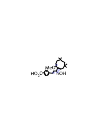 COC1=C/CC(C)(C)CCC(C)(C)C/C=C\1C(/C=C/c1ccc(C(=O)O)cc1)=N\O